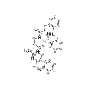 N[C@@H](Cc1ccccc1)C(=O)N1CC[C@H](N(Cc2ccnc3ccccc23)C(=O)C(F)(F)F)C[C@H]1Cc1ccccc1